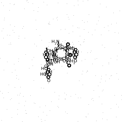 C#C[C@]1(O)CC[C@H]2[C@@H]3CCc4cc(O)ccc4[C@H]3CC[C@@]21C.CC(O)[C@@H]1NC(=O)[C@H](CCCCN)NC(=O)[C@@H](Cc2c[nH]c3ccccc23)NC(=O)[C@H](Cc2ccccc2)NC(=O)[C@@H](NC(=O)[C@H](N)Cc2ccccc2)CSSC[C@@H](C(=O)N[C@H](CO)[C@@H](C)O)NC1=O.C[C@]12C=CC(=O)C=C1CC[C@@H]1[C@@H]2[C@@H](O)C[C@@]2(C)[C@H]1CC[C@]2(O)C(=O)CO.C[C@]12CCC(=O)C=C1CC[C@@H]1[C@@H]2CC[C@@]2(C)[C@H]1CC[C@]2(C)O